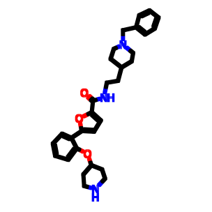 O=C(NCCC1CCN(Cc2ccccc2)CC1)c1ccc(-c2ccccc2OC2CCNCC2)o1